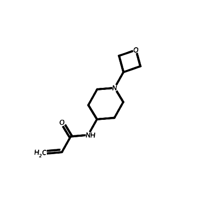 C=CC(=O)NC1CCN(C2COC2)CC1